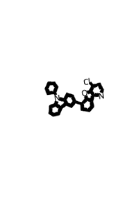 Clc1ccnc2c1oc1c(-c3ccc4c(c3)c3ccccc3n4-c3ccccc3)cccc12